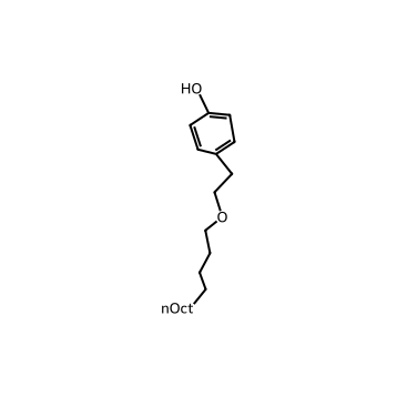 CCCCCCCCCCCCOCCc1ccc(O)cc1